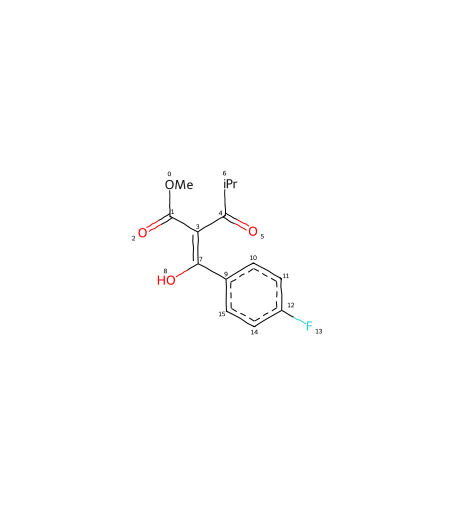 COC(=O)C(C(=O)C(C)C)=C(O)c1ccc(F)cc1